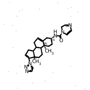 C[C@]12CC[C@H](NC(=O)N3C=CN=CC3)CC1=CCC1C2CC[C@]2(C)C(n3ccnn3)=CCC12